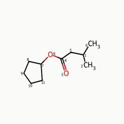 CC(C)CC(=O)OC1CCCC1